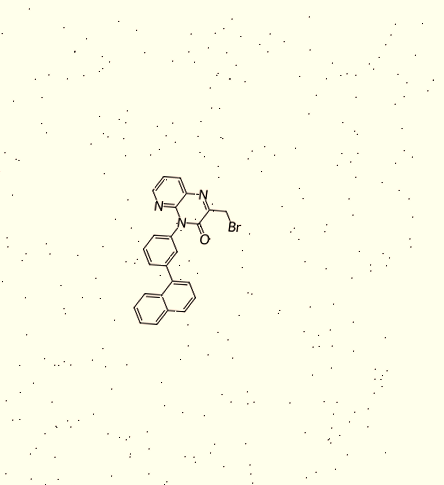 O=c1c(CBr)nc2cccnc2n1-c1cccc(-c2cccc3ccccc23)c1